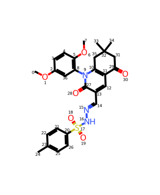 COc1ccc(OC)c(-n2c3c(cc(C=NNS(=O)(=O)c4ccc(C)cc4)c2=O)C(=O)CC(C)(C)C3)c1